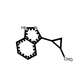 O=CC1CC1c1n[nH]c2ccccc12